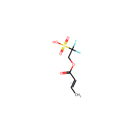 C/C=C/C(=O)OCC(F)(F)S(=O)(=O)O